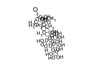 CC(=O)OC1CC2(C)C(=CCC3C4(C)CCC(OC5OC(C(=O)O)C(O)C(OC6OCC(O)C(O)C6OC6OCC(O)C(O)C6O)C5OC5OC(CO)C(O)C(O)C5O)C(C)(C)C4CCC32C)C2CC(C)(C)C(OC(=O)/C=C/c3ccccc3)C(OC(C)=O)C12CO